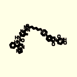 Cc1cc(NC(=O)Nc2cnc3ccnn3c2C2CCCCC2)cnc1-c1noc(CCCCCN2CCN(c3ccc4c(c3)CN(C3CCC(=O)NC3=O)C4=O)CC2)n1